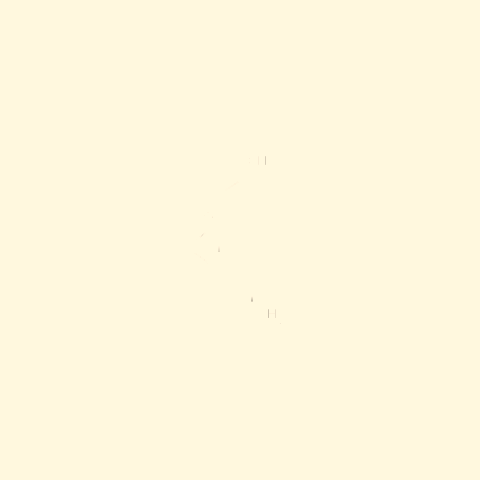 [CH2]C=CCCc1cccc(OCC=CCC)c1